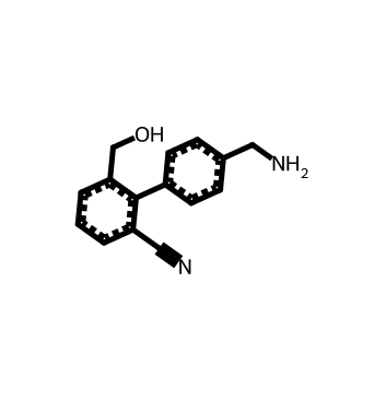 N#Cc1cccc(CO)c1-c1ccc(CN)cc1